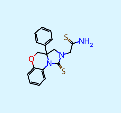 NC(=S)CN1CC2(c3ccccc3)COc3ccccc3N2C1=S